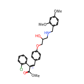 COC(=O)/C(=C/c1ccc(OCC(O)CNCc2ccc(OC)cc2OC)cc1)c1ccccc1Cl